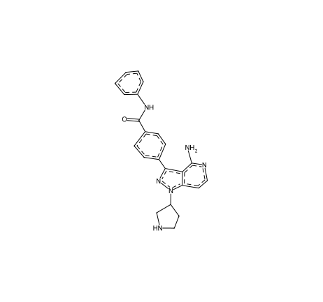 Nc1nccc2c1c(-c1ccc(C(=O)Nc3ccccc3)cc1)nn2C1CCNC1